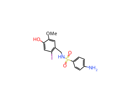 COc1cc(CNS(=O)(=O)c2ccc(N)cc2)c(I)cc1O